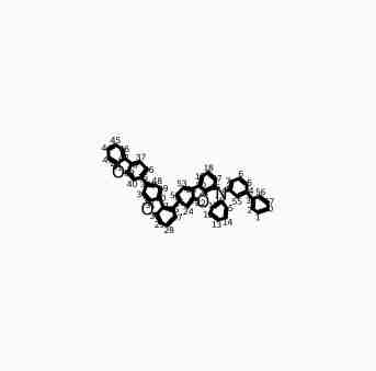 c1ccc(-c2cccc(N(c3ccccc3)c3cccc4c3oc3cc(-c5cccc6oc7cc(-c8ccc9c(c8)oc8ccccc89)ccc7c56)ccc34)c2)cc1